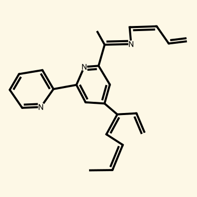 C=C/C=C\N=C(/C)c1cc(/C(C=C)=C/C=C\C)cc(-c2ccccn2)n1